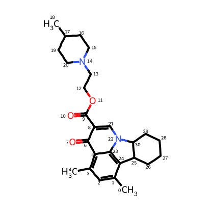 Cc1cc(C)c2c(=O)c(C(=O)OCCN3CCC(C)CC3)cn3c2c1C1CCCCC13